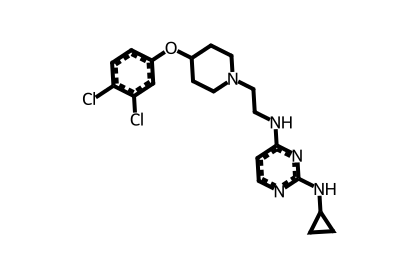 Clc1ccc(OC2CCN(CCNc3ccnc(NC4CC4)n3)CC2)cc1Cl